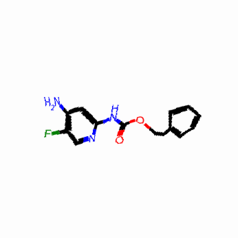 Nc1cc(NC(=O)OCc2ccccc2)ncc1F